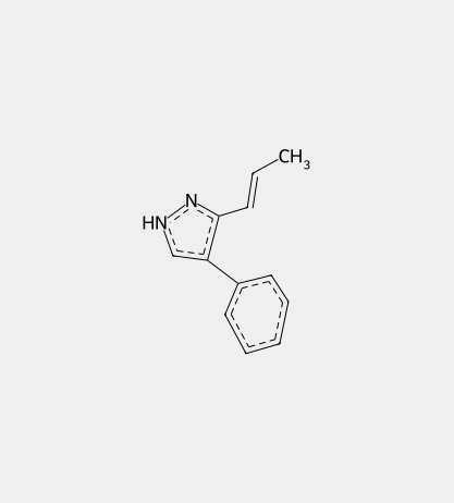 C/C=C/c1n[nH]cc1-c1ccccc1